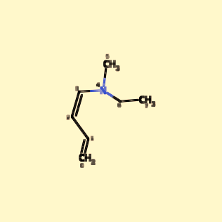 C=C/C=C\N(C)CC